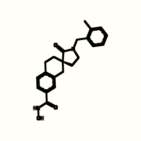 Cc1ccccc1CN1CC[C@@]2(CCc3ccc(C(=O)NO)cc3C2)C1=O